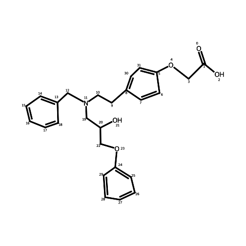 O=C(O)COc1ccc(CCN(Cc2ccccc2)CC(O)COc2ccccc2)cc1